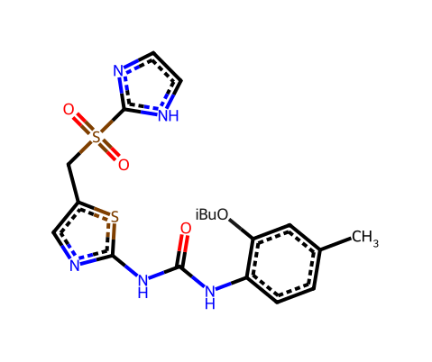 Cc1ccc(NC(=O)Nc2ncc(CS(=O)(=O)c3ncc[nH]3)s2)c(OCC(C)C)c1